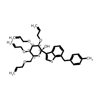 C=CCOC[C@@H]1S[C@@](O)(c2csc3c(Cc4ccc(C)cc4)cccc23)[C@H](OCC=C)[C@@H](OCC=C)[C@@H]1OCC=C